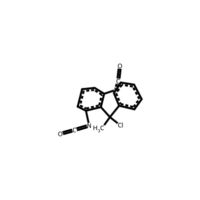 CC(Cl)(c1ccccc1)c1c(N=C=O)cccc1N=C=O